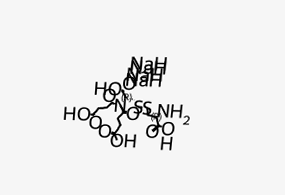 N[C@@H](CSSC[C@@H](C(=O)O)N(C(=O)CCC(=O)O)C(=O)CCC(=O)O)C(=O)O.[NaH].[NaH].[NaH].[NaH]